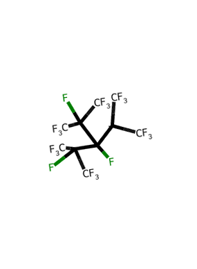 FC(F)(F)[C](C(F)(F)F)C(F)(C(F)(C(F)(F)F)C(F)(F)F)C(F)(C(F)(F)F)C(F)(F)F